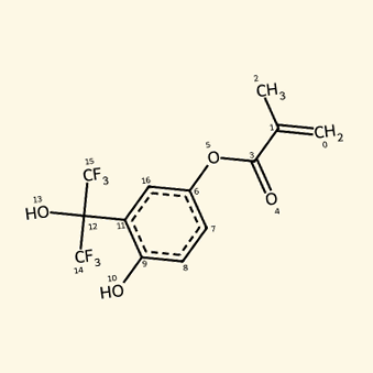 C=C(C)C(=O)Oc1ccc(O)c(C(O)(C(F)(F)F)C(F)(F)F)c1